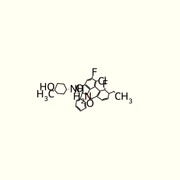 CCC1C=CC(C(N)=O)=C(c2c(Cl)c(F)cc3c2C[C@@](CN[C@H]2CC[C@@](C)(O)CC2)(c2ccccc2)O3)C1F